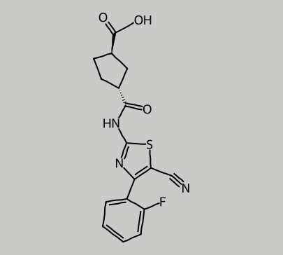 N#Cc1sc(NC(=O)[C@@H]2CC[C@@H](C(=O)O)C2)nc1-c1ccccc1F